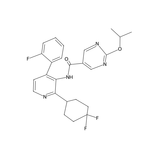 CC(C)Oc1ncc(C(=O)Nc2c(-c3ccccc3F)ccnc2C2CCC(F)(F)CC2)cn1